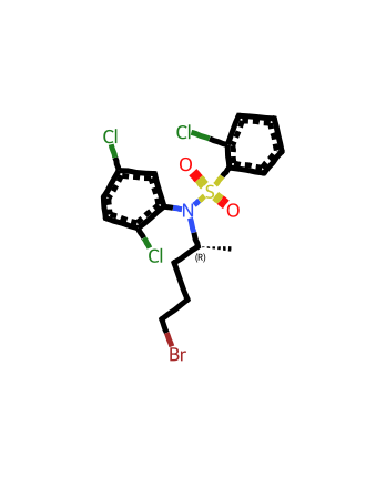 C[C@H](CCCBr)N(c1cc(Cl)ccc1Cl)S(=O)(=O)c1ccccc1Cl